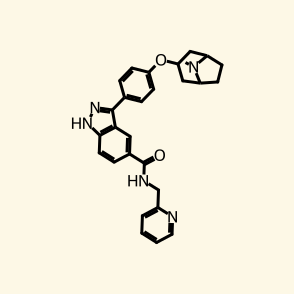 CN1C2CCC1CC(Oc1ccc(-c3n[nH]c4ccc(C(=O)NCc5ccccn5)cc34)cc1)C2